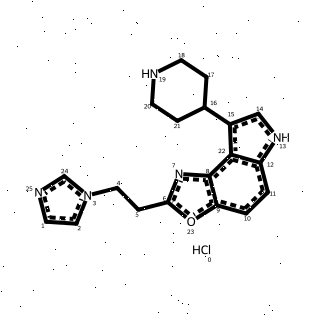 Cl.c1cn(CCc2nc3c(ccc4[nH]cc(C5CCNCC5)c43)o2)cn1